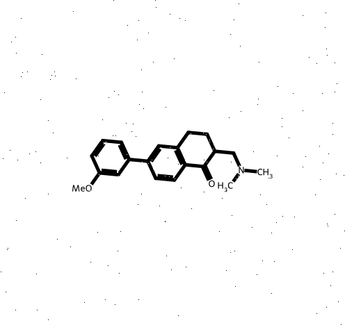 COc1cccc(-c2ccc3c(c2)CCC(CN(C)C)C3=O)c1